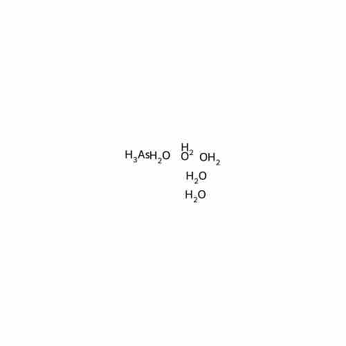 O.O.O.O.O.[AsH3]